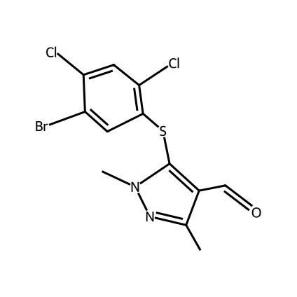 Cc1nn(C)c(Sc2cc(Br)c(Cl)cc2Cl)c1C=O